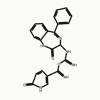 N=C(NC1N=C(c2ccccc2)c2ccccc2NC1=O)OC(=N)c1ccc(=O)[nH]c1